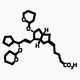 O=C(O)CCCC=C1C[C@@H]2C[C@@H](OC3CCCCO3)[C@H](C=C[C@H](OC3CCCCO3)C3CCCC3)[C@H]2C1